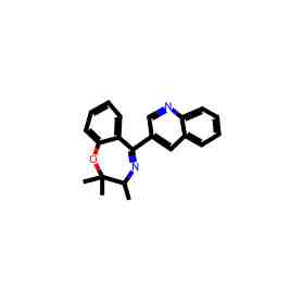 CC1N=C(c2cnc3ccccc3c2)c2ccccc2OC1(C)C